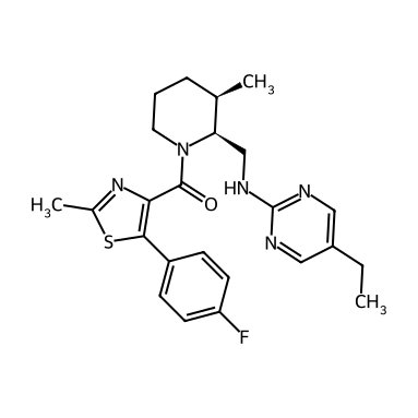 CCc1cnc(NC[C@@H]2[C@H](C)CCCN2C(=O)c2nc(C)sc2-c2ccc(F)cc2)nc1